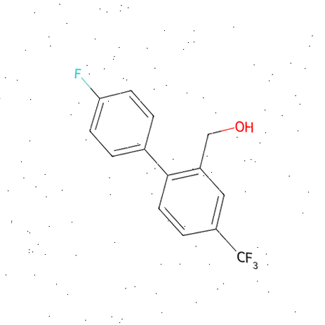 OCc1cc(C(F)(F)F)ccc1-c1ccc(F)cc1